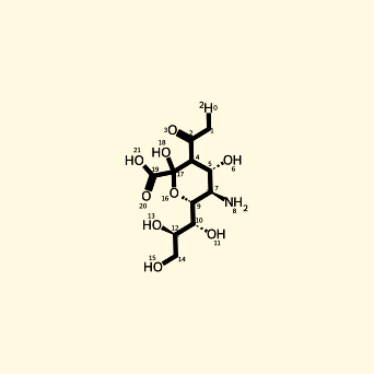 [2H]CC(=O)C1[C@H](O)[C@@H](N)[C@H]([C@H](O)[C@H](O)CO)OC1(O)C(=O)O